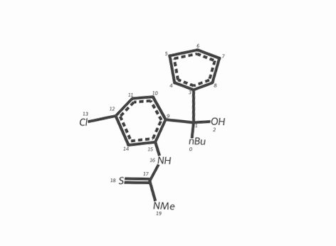 CCCCC(O)(c1ccccc1)c1ccc(Cl)cc1NC(=S)NC